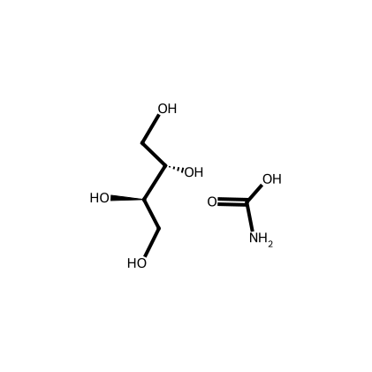 NC(=O)O.OC[C@@H](O)[C@@H](O)CO